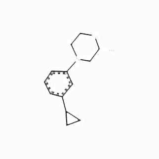 C[C@@H]1CN(c2cccc(C3CC3)c2)CCO1